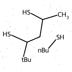 CC(S)CC(S)C(C)(C)C.CCCCS